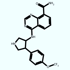 NC(=O)c1cccc2c(NC3CNCC3c3ccc(OC(F)(F)F)cc3)ncnc12